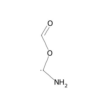 N[CH]OC=O